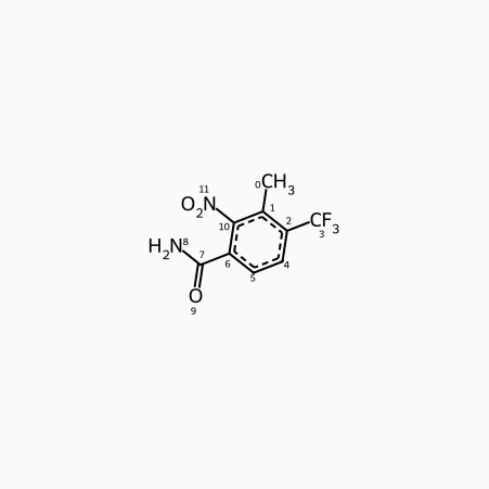 Cc1c(C(F)(F)F)ccc(C(N)=O)c1[N+](=O)[O-]